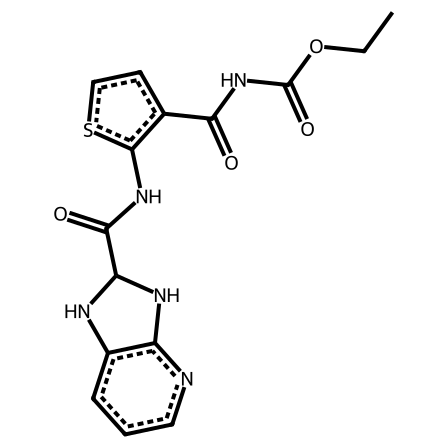 CCOC(=O)NC(=O)c1ccsc1NC(=O)C1Nc2cccnc2N1